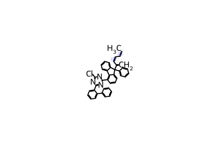 C=C(/C=C\C=C/C)C1(c2ccccc2)c2ccccc2-c2c(-c3nc(Cl)nc(-c4ccccc4-c4ccccc4)n3)cccc21